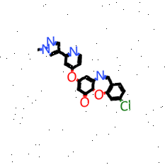 Cn1cc(-c2cc(OC3=CC(=O)C4Oc5cc(Cl)ccc5C=NC4=C3)ccn2)cn1